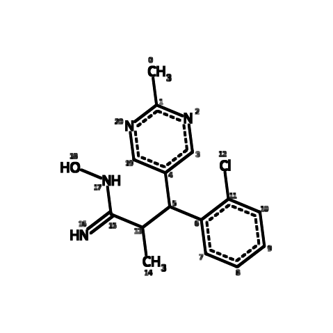 Cc1ncc(C(c2ccccc2Cl)C(C)C(=N)NO)cn1